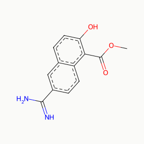 COC(=O)c1c(O)ccc2cc(C(=N)N)ccc12